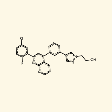 OCCn1cc(-c2cncc(-c3cc(-c4cc(Cl)ccc4F)nc4ncccc34)c2)cn1